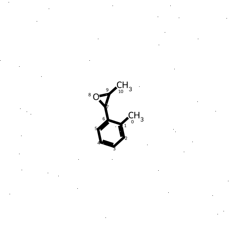 Cc1ccccc1C1OC1C